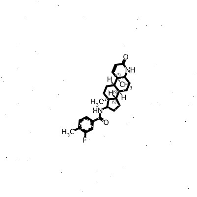 Cc1ccc(C(=O)NC2CC[C@H]3[C@@H]4CCC5NC(=O)C=C[C@]5(C)[C@@H]4CC[C@]23C)cc1F